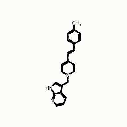 Cc1ccc(C=CC2=CCN(Cc3c[nH]c4ncccc34)CC2)cc1